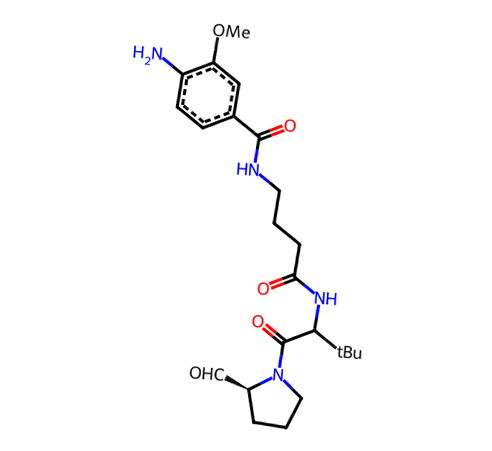 COc1cc(C(=O)NCCCC(=O)NC(C(=O)N2CCC[C@H]2C=O)C(C)(C)C)ccc1N